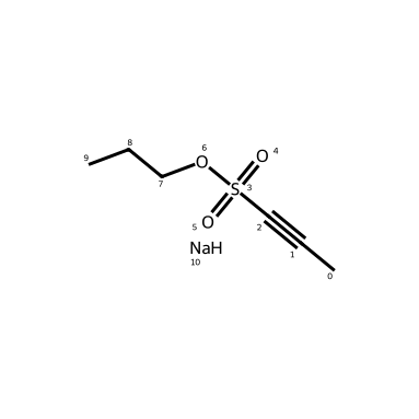 CC#CS(=O)(=O)OCCC.[NaH]